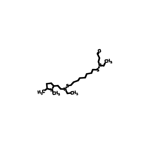 CCN(CCC=O)SCCCCCCCCSN(CC)CCC1CCC(C)N1C